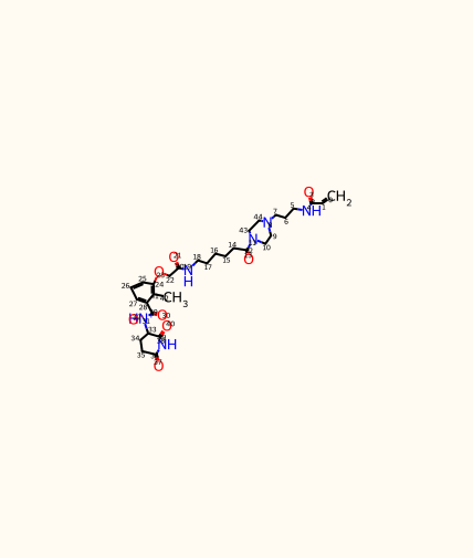 C=CC(=O)NCCCN1CCN(C(=O)CCCCCNC(=O)COc2cccc(C(=O)[NH+]([O-])C3CCC(=O)NC3=O)c2C)CC1